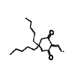 [CH2]C=C1C(=O)CC(CCCCC)(CCCCC)CC1=O